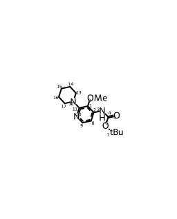 COc1c(NC(=O)OC(C)(C)C)ccnc1N1CCCCC1